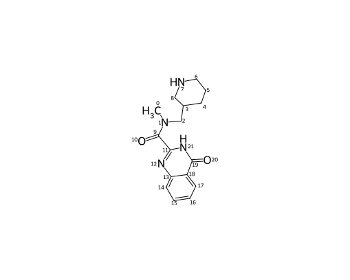 CN(CC1CCCNC1)C(=O)c1nc2ccccc2c(=O)[nH]1